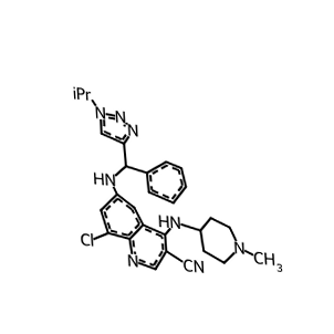 CC(C)n1cc(C(Nc2cc(Cl)c3ncc(C#N)c(NC4CCN(C)CC4)c3c2)c2ccccc2)nn1